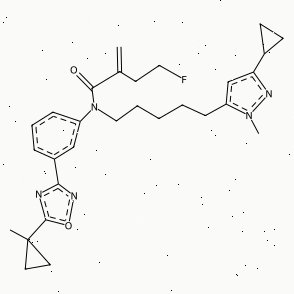 C=C(CCF)C(=O)N(CCCCCc1cc(C2CC2)nn1C)c1cccc(-c2noc(C3(C)CC3)n2)c1